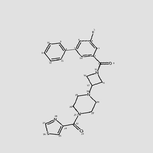 O=C(c1cc(F)cc(-c2ccccc2)c1)N1CC(N2CCN(C(=O)c3cscn3)CC2)C1